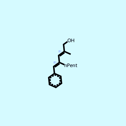 CCCCCC(/C=C(\C)CO)=C\c1ccccc1